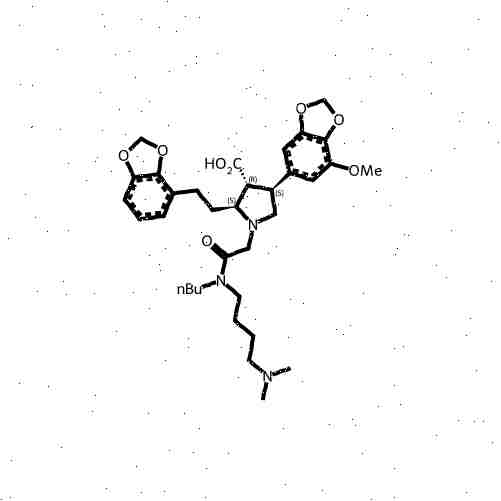 CCCCN(CCCCN(C)C)C(=O)CN1C[C@H](c2cc(OC)c3c(c2)OCO3)[C@@H](C(=O)O)[C@@H]1CCc1cccc2c1OCO2